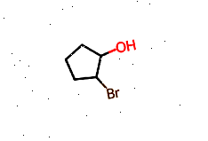 OC1CCCC1Br